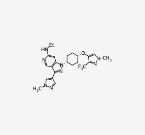 CCNc1cc2c(cn1)c(-c1cnn(C)c1)nn2[C@H]1CC[C@@H](Oc2cn(C)nc2C(F)(F)F)CC1